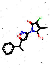 CC1=C(Cl)C(=O)N(c2cc(C(C)c3ccccc3)on2)C1O